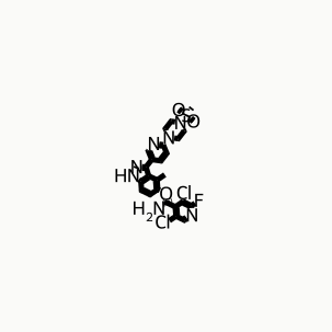 Cc1c(O[C@H](N)c2c(Cl)cnc(F)c2Cl)ccc2[nH]nc(-c3ccc(N4CCN(S(C)(=O)=O)CC4)nc3)c12